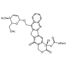 CCCCCC(=O)O[C@]1(CC)C(=O)OCc2c1cc1n(c2=O)Cc2c-1nc1ccccc1c2COC1C=C[C@H](OC(C)=O)C(COC(C)=O)O1